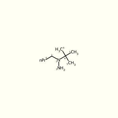 CCCCN(N)C(C)(C)C